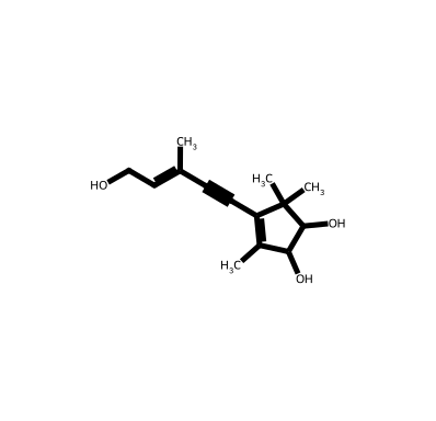 CC(C#CC1=C(C)C(O)C(O)C1(C)C)=CCO